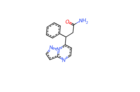 NC(=O)CC(c1ccccc1)c1ccnc2ccnn12